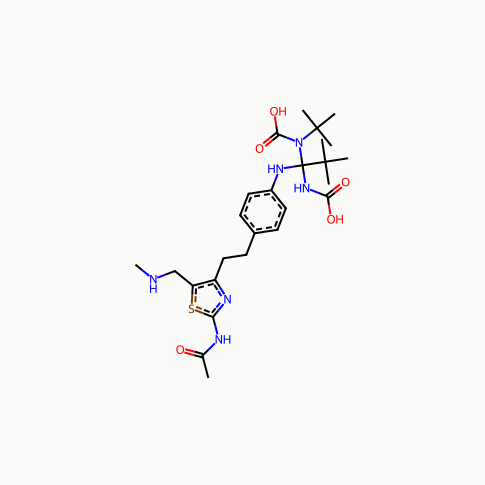 CNCc1sc(NC(C)=O)nc1CCc1ccc(NC(NC(=O)O)(N(C(=O)O)C(C)(C)C)C(C)(C)C)cc1